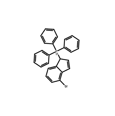 Brc1cccc2c1C=CC2[PH](c1ccccc1)(c1ccccc1)c1ccccc1